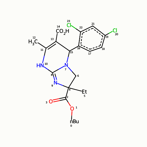 CCCCOC(=O)C1(CC)CN2C(=N1)NC(C)=C(C(=O)O)C2c1ccc(Cl)cc1Cl